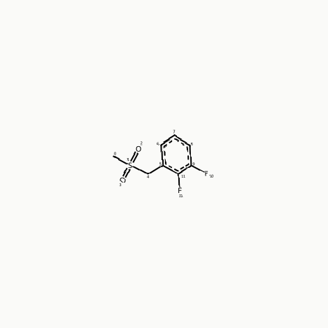 CS(=O)(=O)Cc1cccc(F)c1F